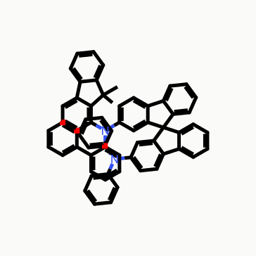 CC1(C)c2ccccc2-c2cccc(N(c3ccc4c(c3)C3(c5ccccc5-c5ccc(N(c6ccccc6)c6ccccc6)cc53)c3ccccc3-4)c3ccccc3-c3ccccc3)c21